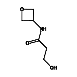 O=C(CCO)NC1COC1